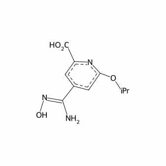 CC(C)Oc1cc(/C(N)=N/O)cc(C(=O)O)n1